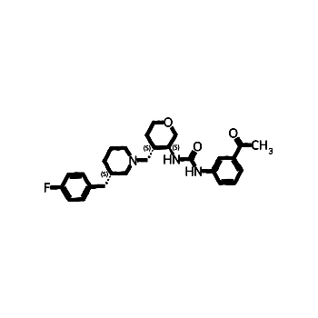 CC(=O)c1cccc(NC(=O)N[C@@H]2COCC[C@H]2CN2CCC[C@@H](Cc3ccc(F)cc3)C2)c1